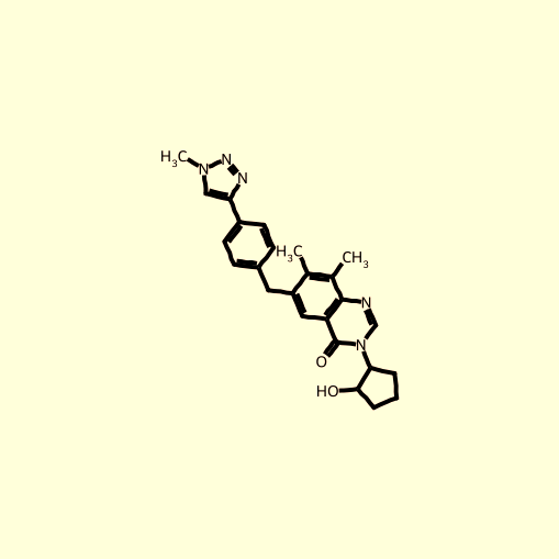 Cc1c(Cc2ccc(-c3cn(C)nn3)cc2)cc2c(=O)n(C3CCCC3O)cnc2c1C